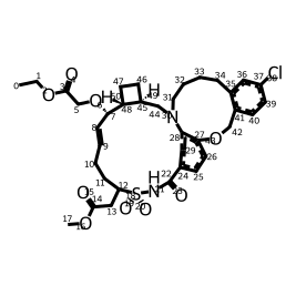 CCOC(=O)CO[C@H]1/C=C/CCC(CC(=O)OC)S(=O)(=O)NC(=O)c2ccc3c(c2)N(CCCCc2cc(Cl)ccc2CO3)C[C@@H]2CC[C@H]21